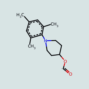 Cc1cc(C)c(N2CCC(O[C]=O)CC2)c(C)c1